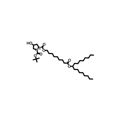 CCCCCCCCC(CCCCCCCC)OC(=O)CCCCCCCCOC(=O)[C@@H]1CC(O)CN1C(=O)OC(C)(C)C